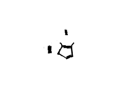 CC1=[C]([Fe+])CC=C1.[C]=O.[C]=O.[Cl-]